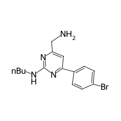 CCCCNc1nc(CN)cc(-c2ccc(Br)cc2)n1